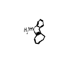 Nn1c2c(c3ccccc31)CC=CC=C2